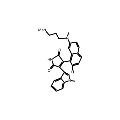 CNCCCN(C)c1ccc2ccc(Cl)c(C3=C(c4cn(C)c5ccccc45)C(=O)NC3=O)c2c1